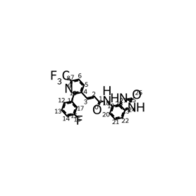 O=C(/C=C/c1ccc(C(F)(F)F)nc1-c1cccc(F)c1)Nc1cccc2[nH]c(=O)[nH]c12